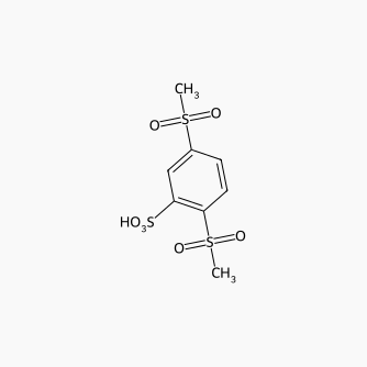 CS(=O)(=O)c1ccc(S(C)(=O)=O)c(S(=O)(=O)O)c1